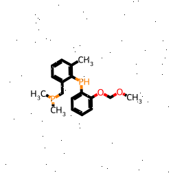 COCOc1ccccc1Pc1c(C)cccc1CP(C)C